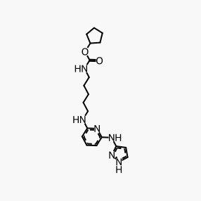 O=C(NCCCCCNc1cccc(Nc2cc[nH]n2)n1)OC1CCCC1